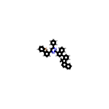 CC1(C)c2ccc3ccccc3c2-c2cccc(-c3ccc(-c4nc(-c5ccccc5)cc(-c5cccc6c5sc5ccccc56)n4)c4ccccc34)c21